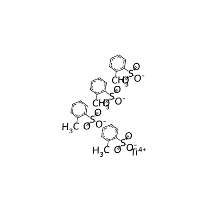 Cc1ccccc1S(=O)(=O)[O-].Cc1ccccc1S(=O)(=O)[O-].Cc1ccccc1S(=O)(=O)[O-].Cc1ccccc1S(=O)(=O)[O-].[Ti+4]